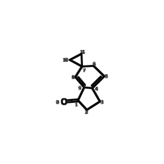 O=C1CCC2=CCC3(C=C12)CC3